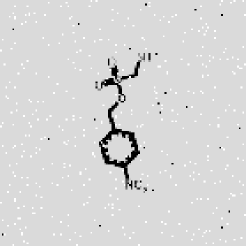 O=[N+]([O-])c1ccc(COS(=O)(=O)CS)cc1